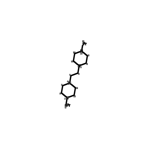 CCCN1CCN(CCN2CCN(C(C)C)CC2)CC1